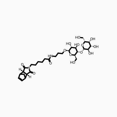 O=C(CCCCCN1C(=O)[C@@H]2C3C=CC(C3)[C@@H]2C1=O)NCCCO[C@@H]1O[C@H](CO)[C@@H](O[C@@H]2O[C@H](CO)[C@H](O)[C@H](O)[C@H]2O)[C@H](O)[C@H]1O